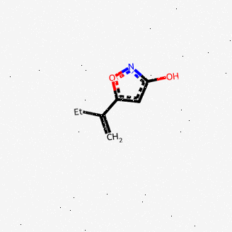 C=C(CC)c1cc(O)no1